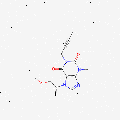 CC#CCn1c(=O)c2c(ncn2[C@@H](C)COC)n(C)c1=O